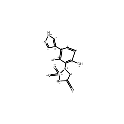 O=C1CN(c2c(O)ccc(-c3cn[nH]c3)c2F)S(=O)(=O)N1